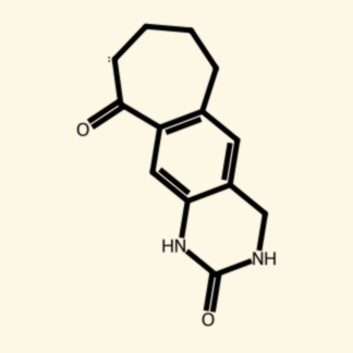 O=C1NCc2cc3c(cc2N1)C(=O)[C]CCC3